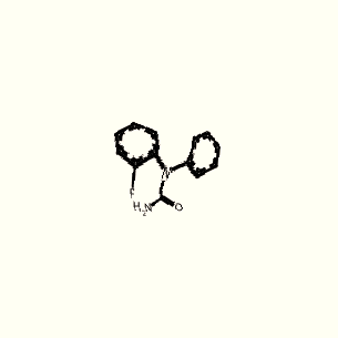 NC(=O)N(c1ccccc1)c1ccccc1F